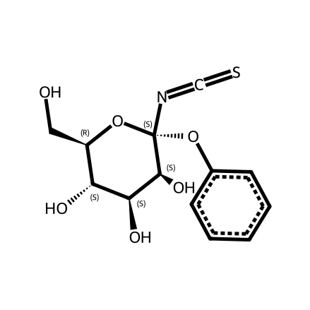 OC[C@H]1O[C@](N=C=S)(Oc2ccccc2)[C@@H](O)[C@@H](O)[C@@H]1O